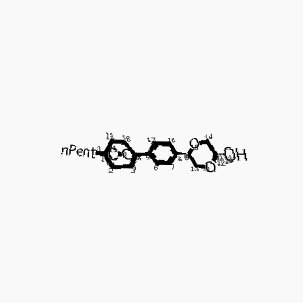 CCCCCC12CCC(c3ccc([C@@H]4CO[C@@H](O)CO4)cc3)(CC1)CC2